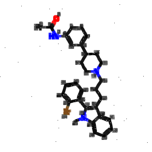 CC(C)C(=O)Nc1cccc(C2CCN(CCCc3c(-c4ccccc4Br)n(C)c4ccccc34)CC2)c1